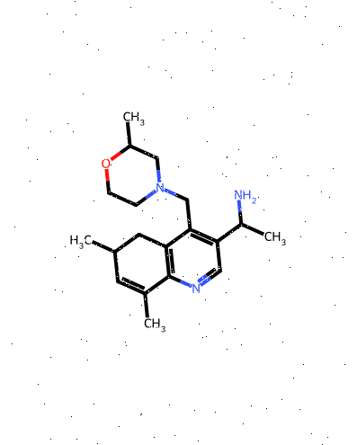 CC1=CC(C)Cc2c1ncc(C(C)N)c2CN1CCOC(C)C1